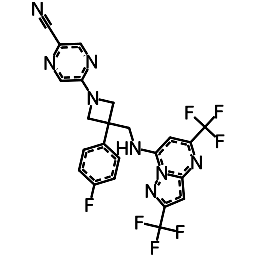 N#Cc1cnc(N2CC(CNc3cc(C(F)(F)F)nc4cc(C(F)(F)F)nn34)(c3ccc(F)cc3)C2)cn1